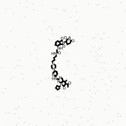 CC(=O)c1c(C)c2cnc(Nc3ccc(N4CCN(CCCCNC(=O)CNc5cccc6c5C(=O)N(C5CCC(=O)N(C)C5=O)C6=O)CC4)cn3)nc2n(C2CCCC2)c1=O